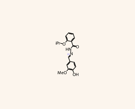 COc1cc(/C=N/NC(=O)c2ccccc2OC(C)C)ccc1O